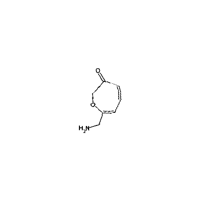 NCC1=CC=CC(=O)CO1